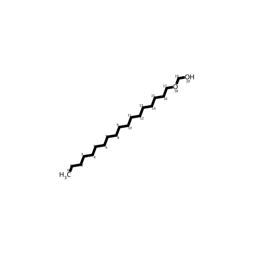 CCCCCCCCCCCCCCCCCCOCO